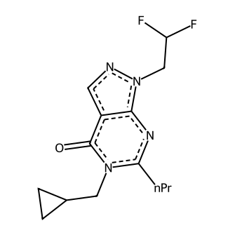 CCCc1nc2c(cnn2CC(F)F)c(=O)n1CC1CC1